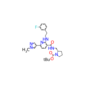 Cn1cc(-c2ccc(C(=O)NC[C@H]3CCCN3C(=O)OC(C)(C)C)c(NCCc3cccc(F)c3)n2)cn1